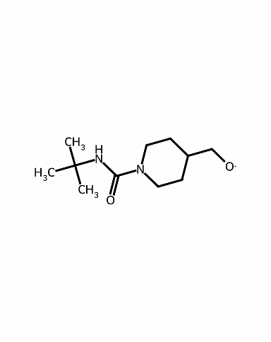 CC(C)(C)NC(=O)N1CCC(C[O])CC1